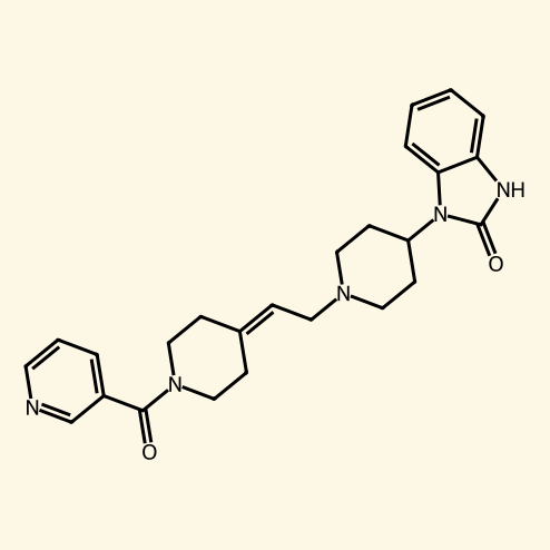 O=C(c1cccnc1)N1CCC(=CCN2CCC(n3c(=O)[nH]c4ccccc43)CC2)CC1